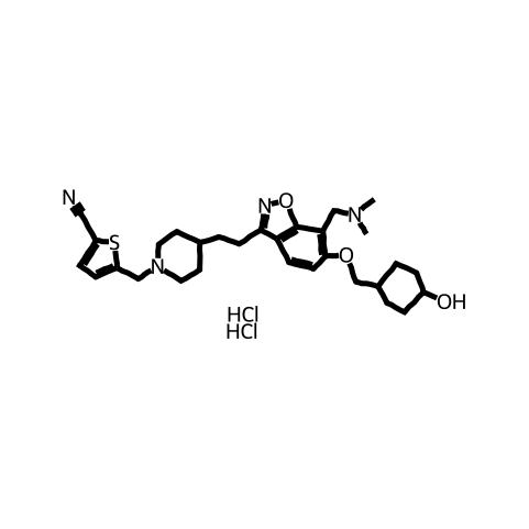 CN(C)Cc1c(OCC2CCC(O)CC2)ccc2c(CCC3CCN(Cc4ccc(C#N)s4)CC3)noc12.Cl.Cl